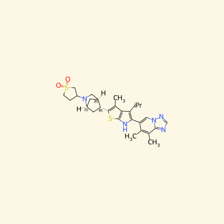 Cc1c(-c2[nH]c3sc([C@@H]4C[C@@H]5C[C@H]4CN5C4CCS(=O)(=O)C4)c(C)c3c2C(C)C)cn2ncnc2c1C